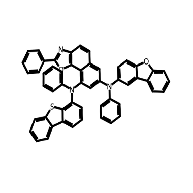 c1ccc(-c2nc3ccc4cc(N(c5ccccc5)c5ccc6oc7ccccc7c6c5)cc(N(c5ccccc5)c5cccc6c5sc5ccccc56)c4c3o2)cc1